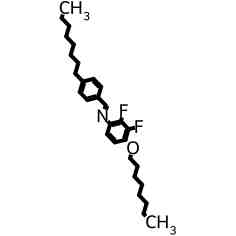 CCCCCCCCOc1ccc(N=Cc2ccc(CCCCCCCC)cc2)c(F)c1F